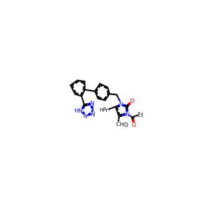 CCCc1c(C=O)n(C(=O)CC)c(=O)n1Cc1ccc(-c2ccccc2-c2nnn[nH]2)cc1